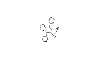 c1ccc(-c2c3c(c(-c4ccccc4)c4ccccc24)C2OC2C2OC32)cc1